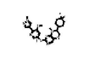 COc1cc(Nc2ncc3c(n2)N(C)C(C2CCC(F)(F)CC2)CO3)cnc1-c1cnn(C)c1